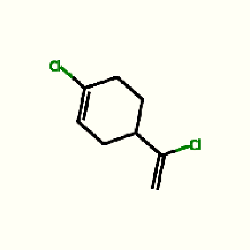 C=C(Cl)C1CC=C(Cl)CC1